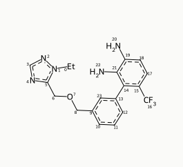 CCn1ncnc1COCc1cccc(-c2c(C(F)(F)F)ccc(N)c2N)c1